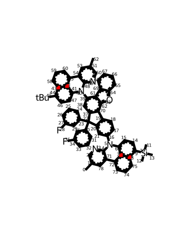 Cc1cnc(N(c2ccc([Si](C)(C)C)cc2)c2ccc3c(c2)C(c2cccc(F)c2)(c2cccc(F)c2)c2cc(N(c4ccc(C(C)(C)C)cc4)c4ncc(C)cc4-c4ccccc4)c4c(oc5ccccc54)c2-3)c(-c2ccccc2)c1